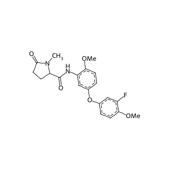 COc1ccc(Oc2ccc(OC)c(NC(=O)C3CCC(=O)N3C)c2)cc1F